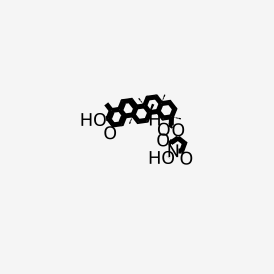 CC1=C(O)C(=O)C=C2C1=CC=C1[C@@]2(C)CC[C@@]2(C)[C@@H]3C[C@](C)(C(=O)OC4CC(=O)N(O)C4=O)CC[C@]3(C)CC[C@]12C